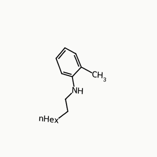 CCCCCCCCNc1ccccc1C